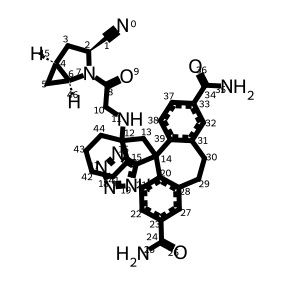 N#C[C@@H]1C[C@@H]2C[C@@H]2N1C(=O)CNC1(CC2(c3nnn[nH]3)c3ccc(C(N)=O)cc3CCc3cc(C(N)=O)ccc32)CCCCC1